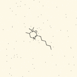 CCCCCCC1=NCC(C)[Si](C)(C)O1